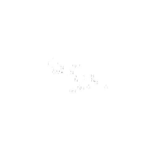 CCCNc1nc(N2CCN(c3ccccc3OC)CC2)ccc1C(=O)NN1CCOCC1.Cl